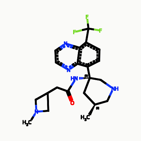 C[C@@H]1CNC[C@](NC(=O)CC2CN(C)C2)(c2ccc(C(F)(F)F)c3nccnc23)C1